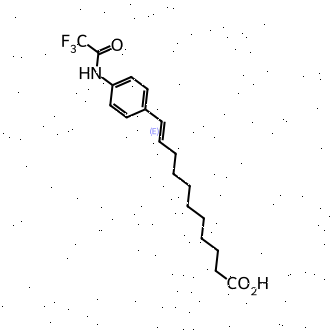 O=C(O)CCCCCCCC/C=C/c1ccc(NC(=O)C(F)(F)F)cc1